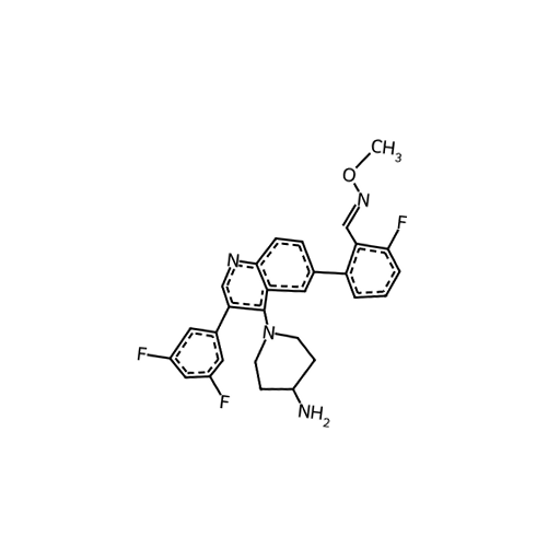 CON=Cc1c(F)cccc1-c1ccc2ncc(-c3cc(F)cc(F)c3)c(N3CCC(N)CC3)c2c1